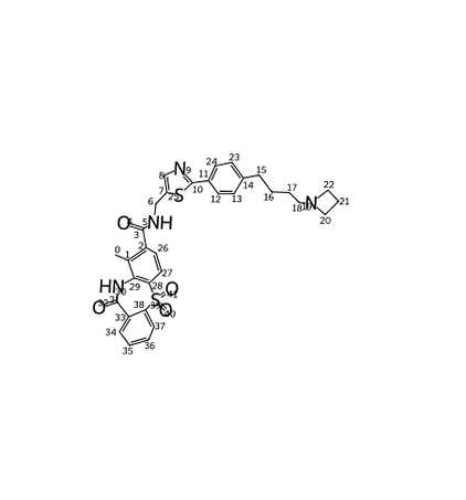 Cc1c(C(=O)NCc2cnc(-c3ccc(CCCCN4CCC4)cc3)s2)ccc2c1NC(=O)c1ccccc1S2(=O)=O